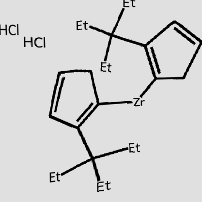 CCC(CC)(CC)C1=[C]([Zr][C]2=C(C(CC)(CC)CC)C=CC2)CC=C1.Cl.Cl